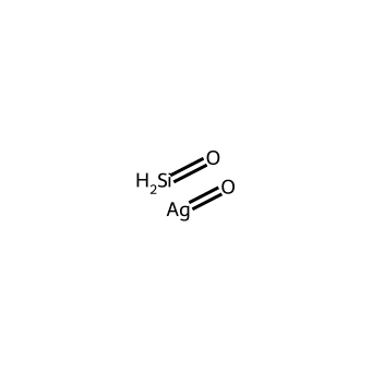 O=[SiH2].[O]=[Ag]